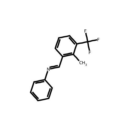 Cc1c(C=Nc2ccccc2)cccc1C(F)(F)F